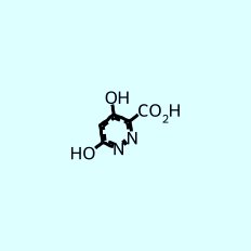 O=C(O)c1nnc(O)cc1O